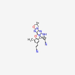 Cc1cc(/C=C/C#N)cc(C)c1Oc1nc(NC23CC(C#N)(C2)C3)nc2c1nc1n2CC2(CC2)CO1